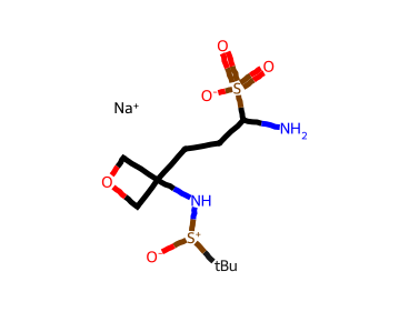 CC(C)(C)[S+]([O-])NC1(CCC(N)S(=O)(=O)[O-])COC1.[Na+]